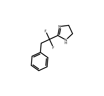 FC(F)(Cc1ccccc1)C1=NCCN1